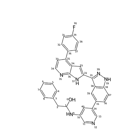 OC(Cc1ccccc1)Nc1cncc(-c2ccc3[nH]nc(-c4cc5c(-c6ccc(F)cc6)ccnc5[nH]4)c3c2)c1